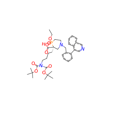 CCOP1(=O)CCN(Cc2ccccc2-c2cncc3ccccc23)C[C@@]1(CCCCN(C(=O)OC(C)(C)C)C(=O)OC(C)(C)C)C(=O)O